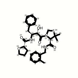 Cc1ccccc1CNC(=O)[C@H]1N(C(=O)[C@@H](O)[C@H](Cc2ccccc2)NC(=O)[C@@H]2CCCO2)CSC1(C)C